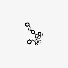 O=C(CC(c1ccc(OCc2ccccc2)cc1)c1ccon1)N1C(=O)OCC1Cc1ccccc1